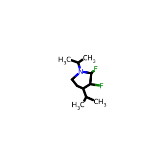 CC(C)C1CCN(C(C)C)C(F)C1F